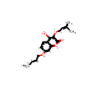 CC(C)=CCOc1c(O)c2ccc(OCCCC(=O)O)cc2oc1=O